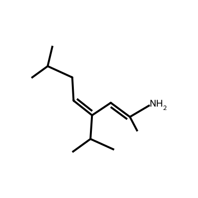 C/C(N)=C\C(=C/CC(C)C)C(C)C